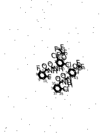 O=C(NC(=O)c1c(F)cccc1F)Nc1cc(Cl)c(OC(F)(F)C(F)F)c(Cl)c1.O=C(NC(=O)c1ccccc1Cl)Nc1ccc(OC(F)(F)F)cc1